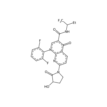 CCC(NC(=O)c1cn(-c2c(F)cccc2F)c2nc(N3CCC(O)C3=O)ccc2c1=O)C(F)(F)F